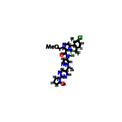 COCc1ncc(-c2c(C(F)F)ccc(Cl)c2F)nc1C(=O)N(C)c1cnn([C@@H](C)c2cnc(N3CCCC3=O)nc2)c1